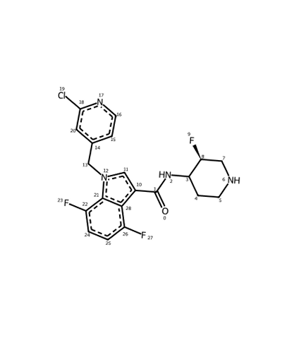 O=C(NC1CCNC[C@@H]1F)c1cn(Cc2ccnc(Cl)c2)c2c(F)ccc(F)c12